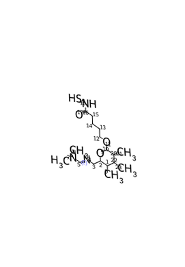 CC1C(C/N=C/N(C)C)OC(OCCCCC(=O)NS)C(C)C1C